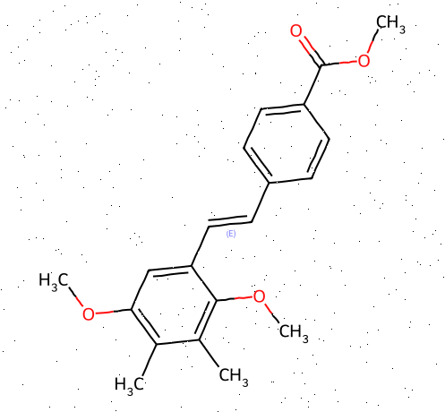 COC(=O)c1ccc(/C=C/c2cc(OC)c(C)c(C)c2OC)cc1